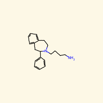 NCCCCN1CCc2ccccc2CC1c1ccccc1